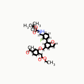 CCOC(=O)Cc1ccc(C(C)=O)cc1OCc1cc(-c2cccc(CNC(=O)OC(C)(C)C)c2F)c2occc2c1